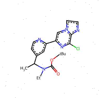 CCN(C(=O)OC(C)(C)C)C(C)c1ccnc(-c2cn3ccnc3c(Cl)n2)c1